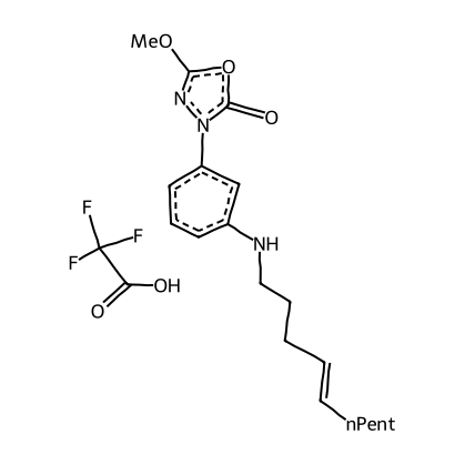 CCCCCC=CCCCNc1cccc(-n2nc(OC)oc2=O)c1.O=C(O)C(F)(F)F